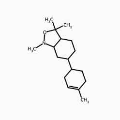 CC1=CCC(C2CCC3C(C2)N(C)OC3(C)C)CC1